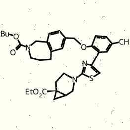 CCOC(=O)[C@@]12CCN(c3nc(-c4cc(C)ccc4OCc4ccc5c(c4)CCCN(C(=O)OC(C)(C)C)C5)cs3)CC1C2